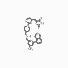 O=C1NC(=O)C(=Cc2ccnc(N3CCC(CNCc4cc(C(F)(F)F)cc(-c5cccc6cnccc56)n4)CC3)n2)S1